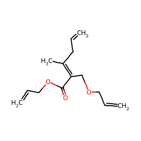 C=CCOCC(C(=O)OCC=C)=C(C)CC=C